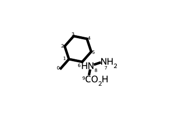 CC1CCCCC1.NNC(=O)O